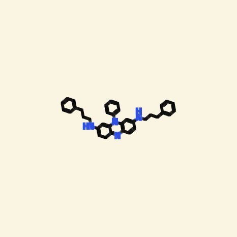 C1=C(NCCCc2ccccc2)C=C2C(=Nc3ccc(NCCCc4ccccc4)cc3N2c2ccccc2)C1